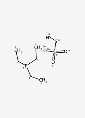 CCP(CC)CC.O=S(=O)(O)SS